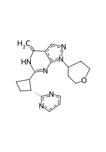 C=C1NC(C2CC[C@H]2c2ncccn2)=Nc2c1cnn2C1CCOCC1